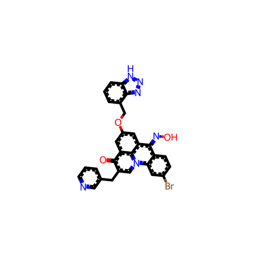 O=c1c(Cc2cccnc2)cn2c3cc(Br)ccc3c(=NO)c3cc(OCc4cccc5[nH]nnc45)cc1c32